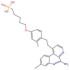 Cc1ccc2c(c1)nc(N)c1nccc(CCc3ccc(OCCCCCP(=O)(O)O)cc3C)c12